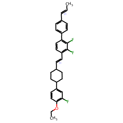 C/C=C/c1ccc(-c2ccc(/C=C/C3CCC(c4ccc(OCC)c(F)c4)CC3)c(F)c2F)cc1